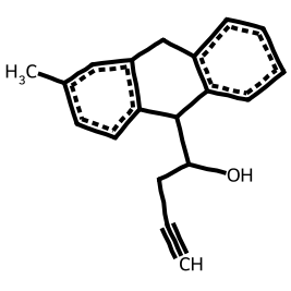 C#CCC(O)C1c2ccccc2Cc2cc(C)ccc21